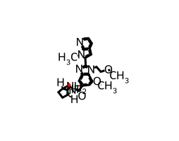 COCCn1c(-c2cc3cccnc3n2C)nc2cc(C(=O)N3C[C@H]4CC[C@@H]3[C@@H]4N)cc(OC)c21